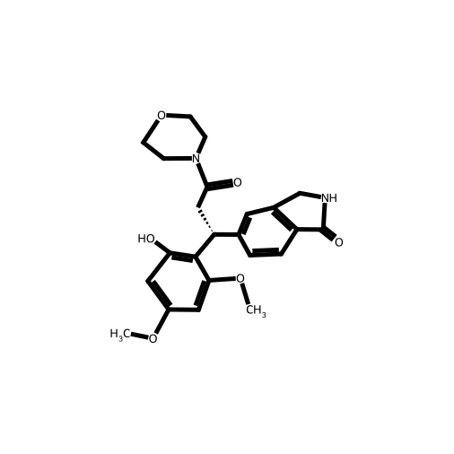 COc1cc(O)c([C@H](CC(=O)N2CCOCC2)c2ccc3c(c2)CNC3=O)c(OC)c1